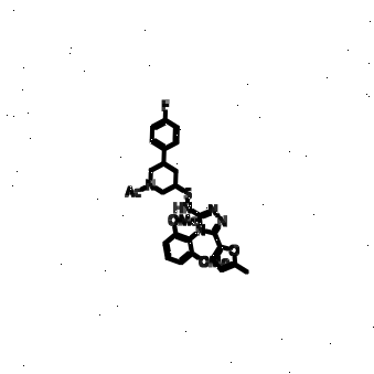 COc1cccc(OC)c1-n1c(NSC2CC(c3ccc(F)cc3)CN(C(C)=O)C2)nnc1-c1ccc(C)o1